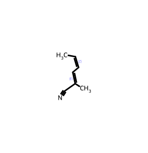 C/C=C\C=C(/C)C#N